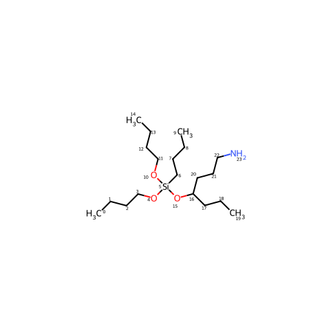 CCCCO[Si](CCCC)(OCCCC)OC(CCC)CCCN